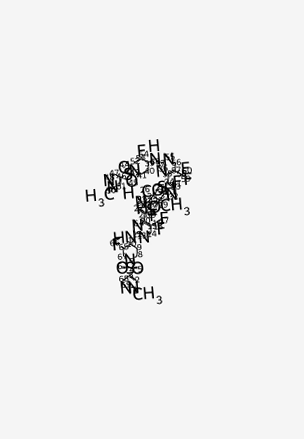 Cn1cc(S(=O)(=O)N2CC[C@@H](Nc3ncc(C(F)(F)F)c(-c4cnc(C(C)(O)C(C)(O)c5ncc(-c6nc(N[C@H]7CCN(S(=O)(=O)c8cnn(C)c8)C[C@@H]7F)ncc6C(F)(F)F)s5)s4)n3)[C@H](F)C2)cn1